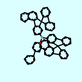 c1ccc(-c2ccc(N(c3ccc4c(c3)C3(c5ccccc5-c5ccccc53)c3ccc5ccccc5c3-4)c3ccc4c(c3)C3(c5ccccc5-4)c4ccccc4-c4ccc5ccccc5c43)cc2)cc1